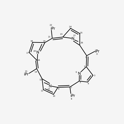 CC(C)C1=C2C=CC(=N2)C(C(C)C)=C2C=CC(=N2)C(C(C)C)=C2C=CC(=N2)C(C(C)C)=C2C=CC1=N2